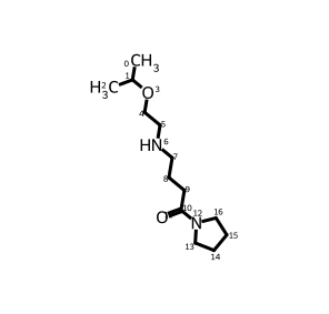 CC(C)OCCNCCCC(=O)N1CCCC1